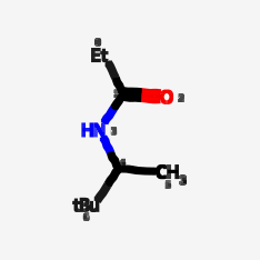 [CH2]CC(=O)NC(C)C(C)(C)C